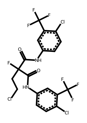 O=C(Nc1ccc(Cl)c(C(F)(F)F)c1)C(F)(CCCl)C(=O)Nc1ccc(Cl)c(C(F)(F)F)c1